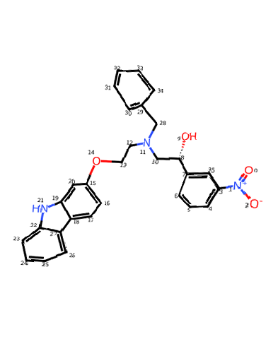 O=[N+]([O-])c1cccc([C@@H](O)CN(CCOc2ccc3c(c2)[nH]c2ccccc23)Cc2ccccc2)c1